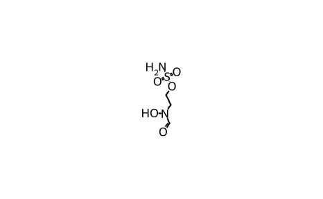 NS(=O)(=O)OCCN(O)C=O